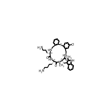 Cc1[nH]c2ccccc2c1C[C@H]1C(=O)NCc2cc(Cl)ccc2Sc2ccccc2CN[C@@H](CCCN)C(=O)N[C@@H](CCCCN)C(=O)N1C